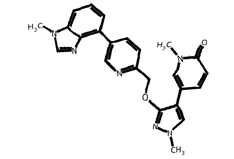 Cn1cc(-c2ccc(=O)n(C)c2)c(OCc2ccc(-c3cccc4c3ncn4C)cn2)n1